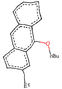 CCCCOc1c2ccccc2cc2ccc(CC)cc12